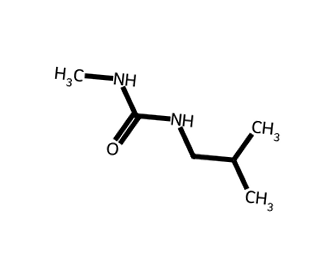 CNC(=O)NCC(C)C